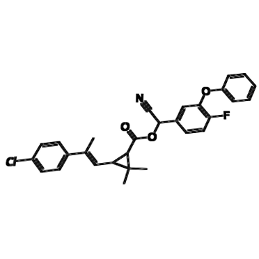 CC(=CC1C(C(=O)OC(C#N)c2ccc(F)c(Oc3ccccc3)c2)C1(C)C)c1ccc(Cl)cc1